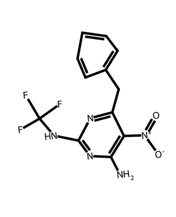 Nc1nc(NC(F)(F)F)nc(Cc2ccccc2)c1[N+](=O)[O-]